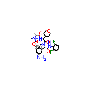 C[C@@H](C(=O)N[C@H](C(=O)N1Cc2ccc(N)cc2[C@H]1C(=O)Nc1c(F)cccc1F)C1CCOCC1)N(C)C(=O)OC(C)(C)C